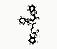 O=C(N[C@@H](CCCCN(Cc1ccccc1)C(=O)O)C(=O)c1nc2ccccc2s1)C1CCCCO1